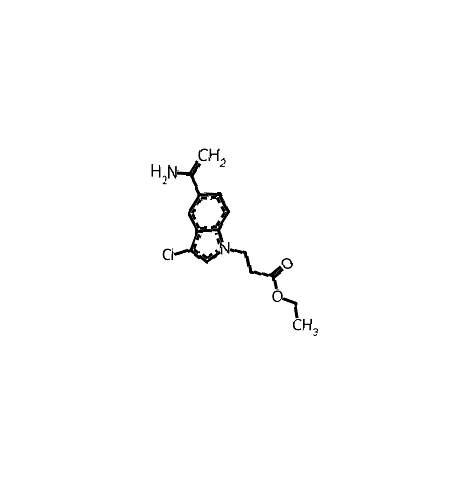 C=C(N)c1ccc2c(c1)c(Cl)cn2CCC(=O)OCC